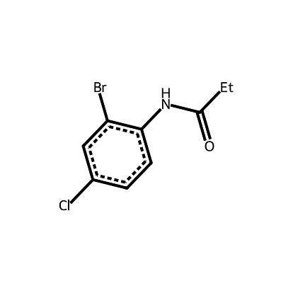 CCC(=O)Nc1ccc(Cl)cc1Br